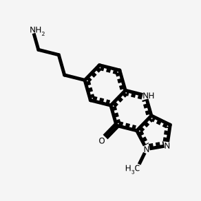 Cn1ncc2[nH]c3ccc(CCCN)cc3c(=O)c21